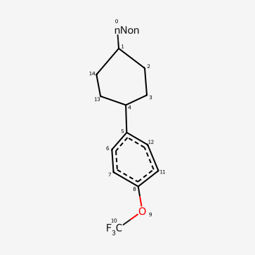 CCCCCCCCCC1CCC(c2ccc(OC(F)(F)F)cc2)CC1